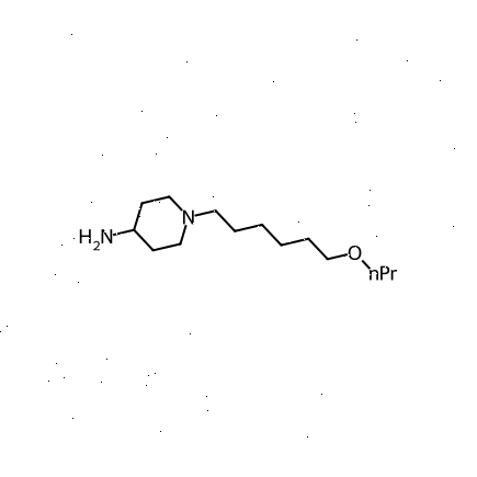 CCCOCCCCCCN1CCC(N)CC1